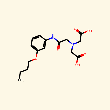 CCCCOc1cccc(NC(=O)CN(CC(=O)O)CC(=O)O)c1